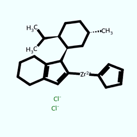 CC(C)[C@H]1CC[C@H](C)C[C@H]1C1[C]([Zr+2][C]2=CC=CC2)=CC2=C1CCCC2.[Cl-].[Cl-]